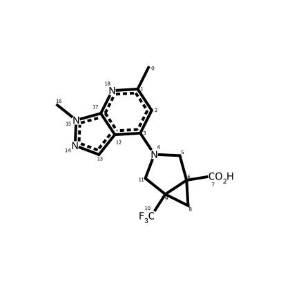 Cc1cc(N2CC3(C(=O)O)CC3(C(F)(F)F)C2)c2cnn(C)c2n1